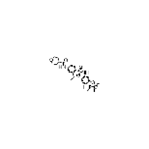 CCc1cc(NC(=O)C2CCOCC2)ccc1S(=O)(=O)Nc1cccc(OC(F)(F)P)c1